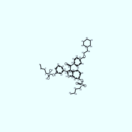 CCCCS(=O)(=O)Oc1cccc(-c2sc3cc(OS(=O)(=O)CCCC)ccc3c2C(=O)c2ccc(OCCN3CCCCC3)cc2)c1